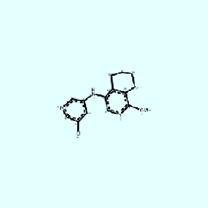 COc1ncc(Nc2cncc(Cl)c2)c2c1CCCC2